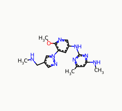 CNCc1cnn(-c2cc(Nc3nc(C)cc(NC)n3)cnc2OC)c1